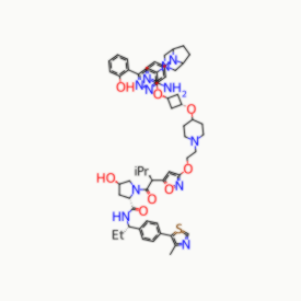 CC[C@H](NC(=O)[C@@H]1C[C@@H](O)CN1C(=O)[C@H](c1cc(OCCN2CCC(O[C@H]3C[C@H](Oc4cc(N5C6CCC5CN(c5cc(-c7ccccc7O)nnc5N)C6)ccn4)C3)CC2)no1)C(C)C)c1ccc(-c2scnc2C)cc1